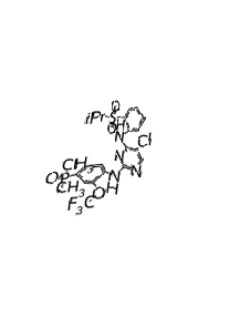 CC(C)S(=O)(=O)c1ccccc1Nc1nc(Nc2ccc(P(C)(C)=O)cc2OC(F)(F)F)ncc1Cl